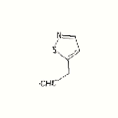 O=[C]Cc1ccns1